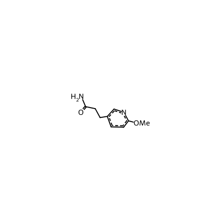 COc1ccc(CCC(N)=O)cn1